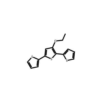 CCOc1cc(-c2cccs2)sc1-c1cccs1